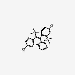 Cc1ccccc1/C(=C(\c1ccc(Cl)cc1)[Si](C)(C)C)c1ccc(Cl)cc1[Si](C)(C)C